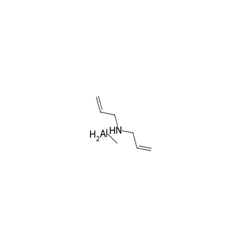 C=CCNCC=C.[CH3][AlH2]